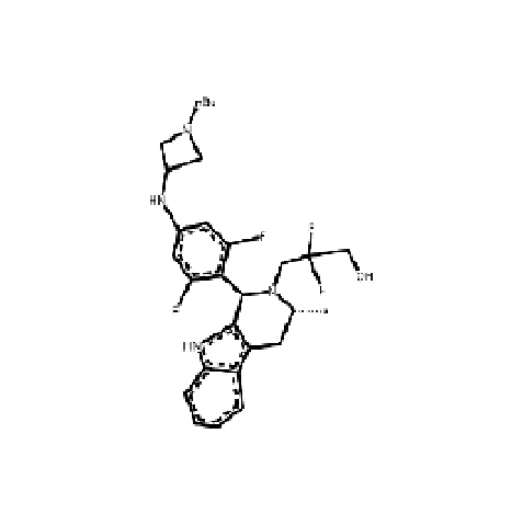 CCCCN1CC(Nc2cc(F)c(C3c4[nH]c5ccccc5c4C[C@@H](C)N3CC(F)(F)CO)c(F)c2)C1